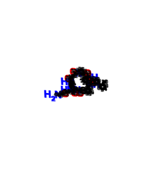 C=Cc1ccccc1-c1ccc(C[C@@H]2NC(=O)[C@]3(Cc4ccccc4)CCCN(C3)C(=O)/C=C/C(=O)NCC[C@@H](C(=O)NCCOCCN)NC(=O)Cc3ccccc3CNC2=O)cc1